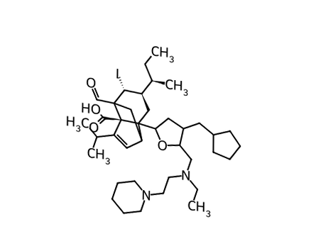 CC[C@@H](C)[C@H]1CC2(C3CC(CC4CCCC4)C(CN(CC)CCN4CCCCC4)O3)C3C=C(C(C)C)[C@]2(C(=O)O)C(C=O)(C3)[C@@H]1I